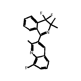 Cc1nc2c(F)cccc2cc1C1=NC(C)(C)C(F)(F)c2ccccc21